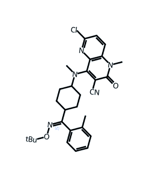 Cc1ccccc1/C(=N\OC(C)(C)C)C1CCC(N(C)c2c(C#N)c(=O)n(C)c3ccc(Cl)nc23)CC1